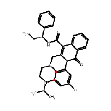 CC[C@H](NC(=O)c1c(CN2CCN(C(C)C)CC2)n(-c2cccc(Cl)c2)c(=O)c2ccccc12)c1ccccc1